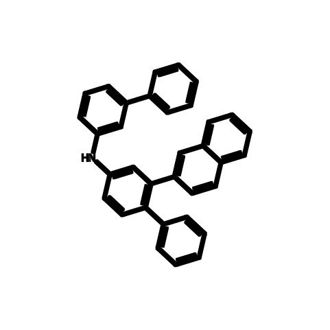 c1ccc(-c2cccc(Nc3ccc(-c4ccccc4)c(-c4ccc5ccccc5c4)c3)c2)cc1